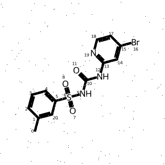 Cc1cccc(S(=O)(=O)NC(=O)Nc2cc(Br)ccn2)c1